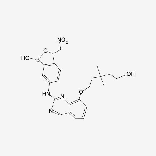 CC(C)(CCO)CCOc1cccc2cnc(Nc3ccc4c(c3)B(O)OC4C[N+](=O)[O-])nc12